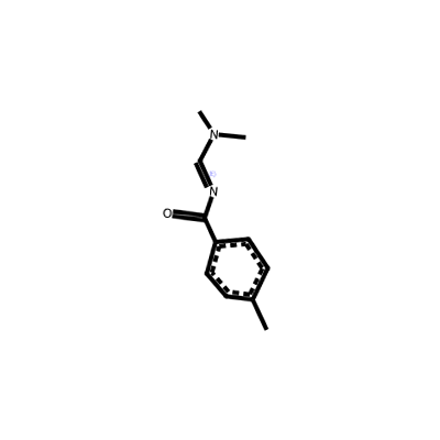 Cc1ccc(C(=O)/N=C/N(C)C)cc1